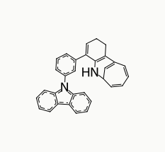 C1=CC2=CC(C=C1)NC1=C2CCC=C1c1cccc(-n2c3ccccc3c3ccccc32)c1